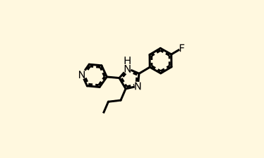 CCCc1nc(-c2ccc(F)cc2)[nH]c1-c1ccncc1